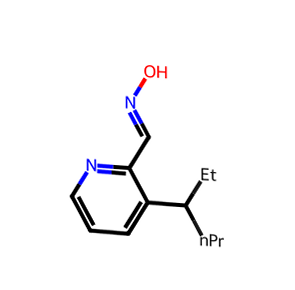 CCCC(CC)c1cccnc1/C=N/O